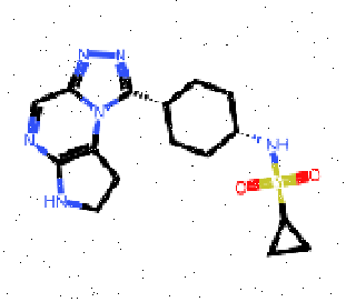 O=S(=O)(N[C@H]1CC[C@@H](c2nnc3cnc4c(n32)CCN4)CC1)C1CC1